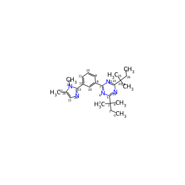 CCC(C)(C)c1nc(-c2cccc(-c3ncc(C)n3C)c2)nc(C(C)(C)CC)n1